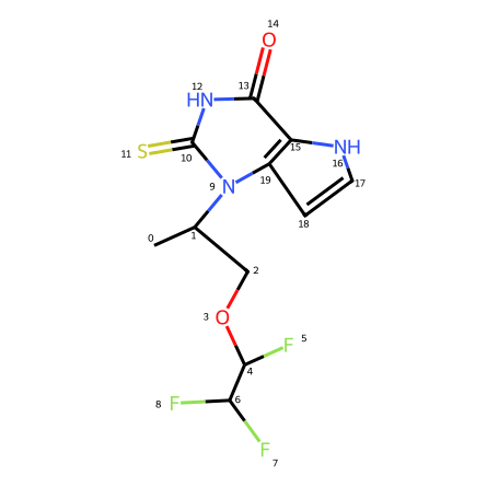 CC(COC(F)C(F)F)n1c(=S)[nH]c(=O)c2[nH]ccc21